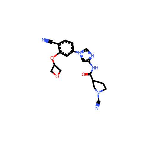 N#Cc1ccc(-n2cnc(NC(=O)C3CCN(C#N)C3)c2)cc1OC1COC1